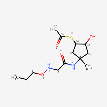 CCCONCC(=O)NC1(C)CC(O)C(SC(C)=O)C1